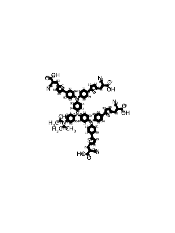 CC(C)N(c1ccc(N(c2ccc(N(c3ccc(-c4ccc(/C=C(\C#N)C(=O)O)s4)cc3)c3ccc(-c4ccc(/C=C(\C#N)C(=O)O)s4)cc3)cc2)c2ccc(N(c3ccc(-c4ccc(/C=C(\C#N)C(=O)O)s4)cc3)c3ccc(-c4ccc(/C=C(\C#N)C(=O)O)s4)cc3)cc2)cc1)C(C)C